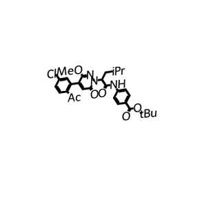 COc1nn(C(CC(C)C)C(=O)Nc2ccc(C(=O)OC(C)(C)C)cc2)c(=O)cc1-c1cc(Cl)ccc1C(C)=O